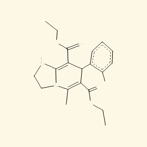 CCOC(=O)C1=C(C)N2CCNC2=C(C(=O)OCC)C1c1ccccc1C